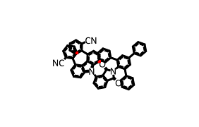 N#Cc1ccccc1-c1cccc2c1c1c(-c3ccccc3C#N)cccc1n2-c1cccc2c1C(=O)N(c1c(-c3ccccc3)cc(-c3ccccc3)cc1-c1ccccc1)C2=O